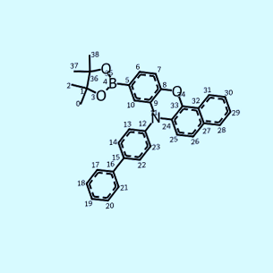 CC1(C)OB(c2ccc3c(c2)N(c2ccc(-c4ccccc4)cc2)c2ccc4ccccc4c2O3)OC1(C)C